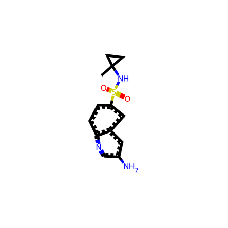 CC1(NS(=O)(=O)c2ccc3ncc(N)cc3c2)CC1